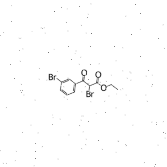 CCOC(=O)C(Br)C(=O)c1cccc(Br)c1